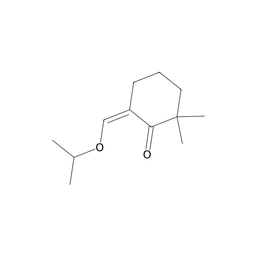 CC(C)O/C=C1/CCCC(C)(C)C1=O